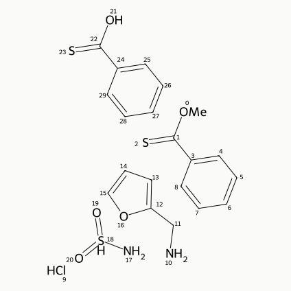 COC(=S)c1ccccc1.Cl.NCc1ccco1.N[SH](=O)=O.OC(=S)c1ccccc1